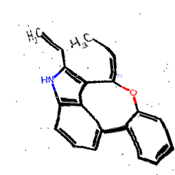 C=Cc1[nH]c2cccc3c4ccccc4o/c(=C/C)c1c23